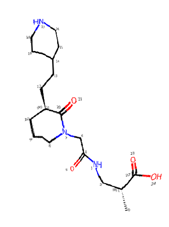 C[C@H](CNC(=O)CN1CCC[C@@H](CCC2CCNCC2)C1=O)C(=O)O